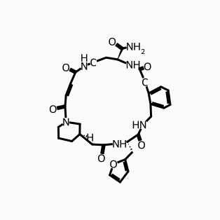 NC(=O)[C@@H]1CCNC(=O)/C=C\C(=O)N2CCC[C@H](CC(=O)N[C@@H](Cc3ccco3)C(=O)NCc3ccccc3CC(=O)N1)C2